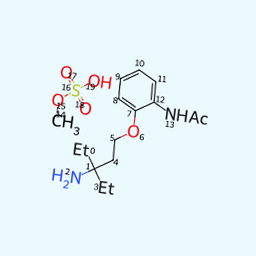 CCC(N)(CC)CCOc1ccccc1NC(C)=O.COS(=O)(=O)O